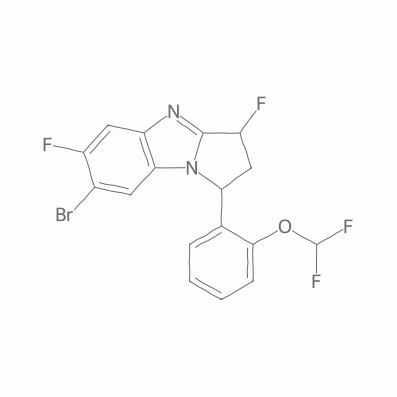 Fc1cc2nc3n(c2cc1Br)C(c1ccccc1OC(F)F)CC3F